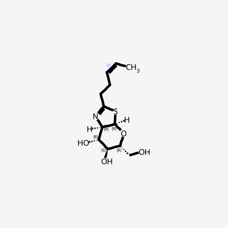 C/C=C\CCC1=N[C@@H]2[C@@H](O)[C@H](O)[C@@H](CO)O[C@@H]2S1